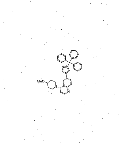 COC1CCN(c2ccnc3ccc(-c4cnn(C(c5ccccc5)(c5ccccc5)c5ccccc5)c4)cc23)CC1